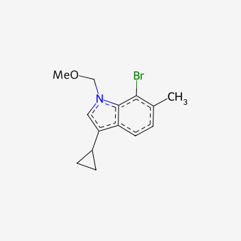 COCn1cc(C2CC2)c2ccc(C)c(Br)c21